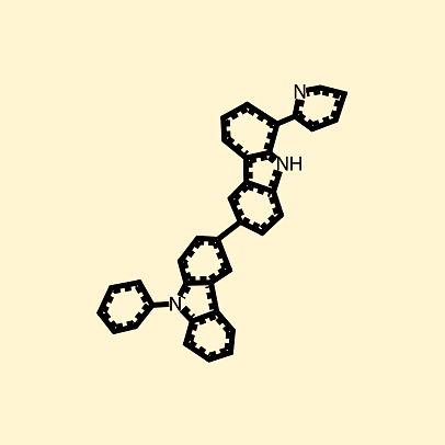 c1ccc(-n2c3ccccc3c3cc(-c4ccc5[nH]c6c(-c7ccccn7)cccc6c5c4)ccc32)cc1